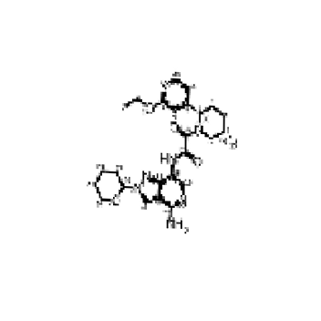 CCOc1cc([C@H]2CC[C@H](C)CN2C(=O)C(=O)Nc2cnc(N)c3cn(C4CCCCO4)nc23)ccn1